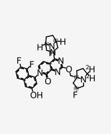 [2H]C1([2H])CC[C@@]2(COc3nc(N4C[C@H]5CC[C@@H](C4)N5)c4ccn(-c5cc(O)cc6ccc(F)c(F)c56)c(=O)c4n3)C[C@@H](F)CN12